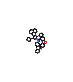 CC1(C)c2ccccc2-c2ccc(N(c3cc(-c4ccccc4)c4c(c3-c3ccccc3)-c3cccc5cccc-4c35)c3cccc4oc5ccccc5c34)cc21